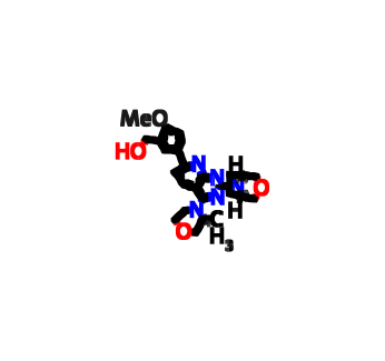 COc1ccc(-c2ccc3c(N4CCOC[C@@H]4C)nc(N4[C@@H]5CC[C@H]4COC5)nc3n2)cc1CO